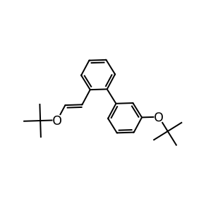 CC(C)(C)OC=Cc1ccccc1-c1cccc(OC(C)(C)C)c1